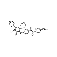 COc1ccc(C(=O)Nc2ccc3c(c2)[C@@]2(CCN=CS2)C2=CC(C4=CCOCC4)N(N)C(F)=C2O3)nc1